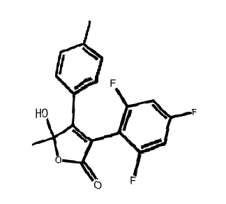 Cc1ccc(C2=C(c3c(F)cc(F)cc3F)C(=O)OC2(C)O)cc1